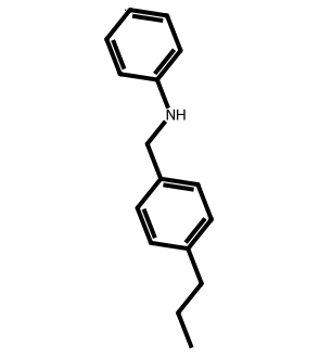 CCCc1ccc(CNc2cc[c]cc2)cc1